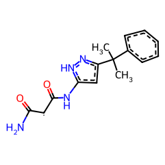 CC(C)(c1ccccc1)c1cc(NC(=O)[CH]C(N)=O)[nH]n1